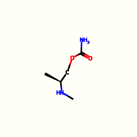 CN[C@@H](C)COC(N)=O